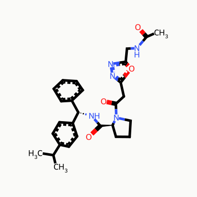 CC(=O)NCc1nnc(CC(=O)N2CCC[C@H]2C(=O)N[C@@H](c2ccccc2)c2ccc(C(C)C)cc2)o1